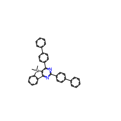 C[Si]1(C)c2ccccc2-c2nc(-c3ccc(-c4ccccc4)cc3)nc(-c3ccc(-c4ccccc4)cc3)c21